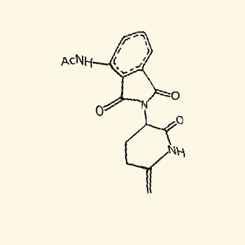 C=C1CCC(N2C(=O)c3cccc(NC(C)=O)c3C2=O)C(=O)N1